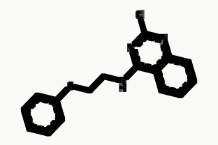 Clc1nc(NCCSc2ccccc2)c2ccccc2n1